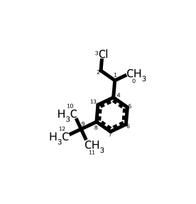 CC(CCl)c1cccc(C(C)(C)C)c1